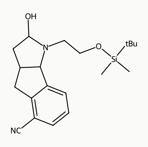 CC(C)(C)[Si](C)(C)OCCN1C(O)CC2Cc3c(C#N)cccc3C21